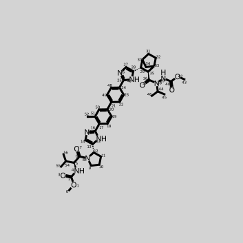 COC(=O)N[C@H](C(=O)N1CCC[C@H]1c1cnc(-c2ccc(-c3ccc(-c4ncc([C@@H]5C6CCC(C6)[C@H]5C(=O)N(NC(=O)OC)C(C)C)[nH]4)cc3)cc2C)[nH]1)C(C)C